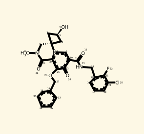 CN1C[C@]2(C[C@H](O)C2)n2cc(C(=O)NCc3cccc(Cl)c3F)c(=O)c(OCc3ccccc3)c2C1=O